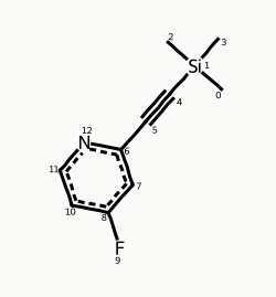 C[Si](C)(C)C#Cc1cc(F)ccn1